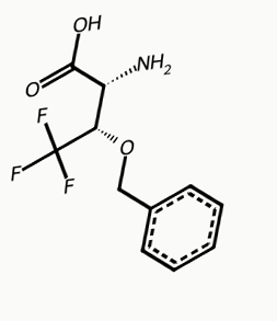 N[C@@H](C(=O)O)[C@H](OCc1ccccc1)C(F)(F)F